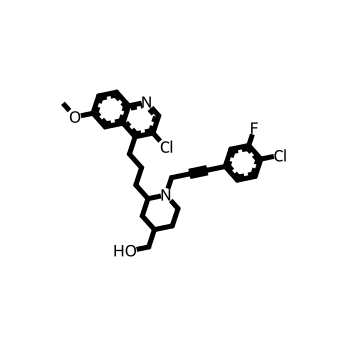 COc1ccc2ncc(Cl)c(CCCC3CC(CO)CCN3CC#Cc3ccc(Cl)c(F)c3)c2c1